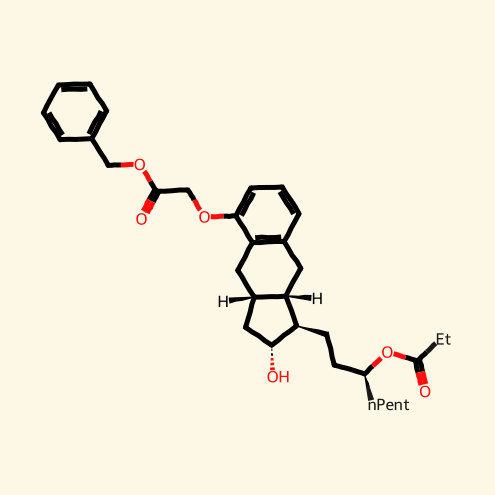 CCCCC[C@@H](CC[C@@H]1[C@H]2Cc3cccc(OCC(=O)OCc4ccccc4)c3C[C@H]2C[C@H]1O)OC(=O)CC